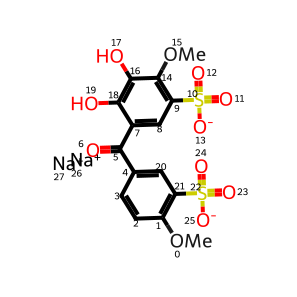 COc1ccc(C(=O)c2cc(S(=O)(=O)[O-])c(OC)c(O)c2O)cc1S(=O)(=O)[O-].[Na+].[Na+]